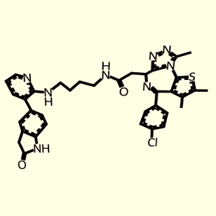 Cc1sc2c(c1C)C(c1ccc(Cl)cc1)=NC(CC(=O)NCCCCNc1ncccc1-c1ccc3c(c1)CC(=O)N3)c1nnc(C)n1-2